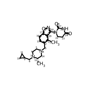 Cc1c(CN2CCN(CC3CC3)[C@@H](C)C2)ccc2onc(N3CCC(=O)NC3=O)c12